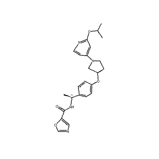 CC(C)Oc1cc(N2CCC(Oc3ccc([C@H](C)NC(=O)c4cnco4)cc3)C2)ccn1